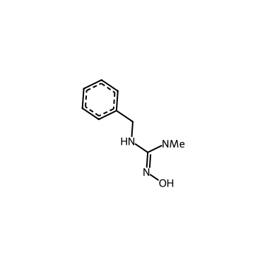 CN/C(=N\O)NCc1ccccc1